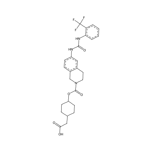 O=C(O)CC1CCC(OC(=O)N2CCc3cc(NC(=O)Nc4ccccc4C(F)(F)F)ccc3C2)CC1